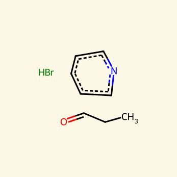 Br.CCC=O.c1ccncc1